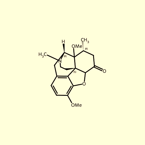 COc1ccc2c3c1OC1C(=O)C[C@@H](C)C4(OC)[C@@H](C2)N(C)CC[C@]314